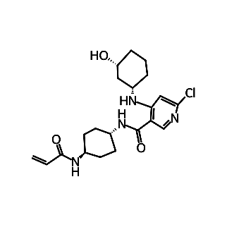 C=CC(=O)N[C@H]1CC[C@H](NC(=O)c2cnc(Cl)cc2N[C@H]2CCC[C@@H](O)C2)CC1